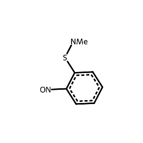 CNSc1ccccc1N=O